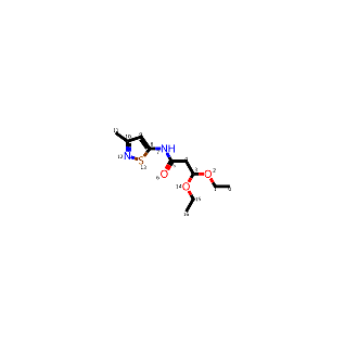 CCOC(CC(=O)Nc1cc(C)ns1)OCC